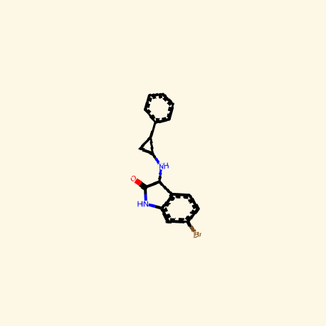 O=C1Nc2cc(Br)ccc2C1NC1CC1c1ccccc1